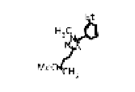 C=C(CCc1nc(-c2cccc(CC)c2)n(C)n1)OC